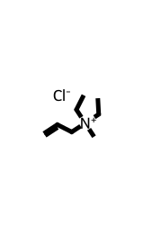 C=CC[N+](C)(CC)CC.[Cl-]